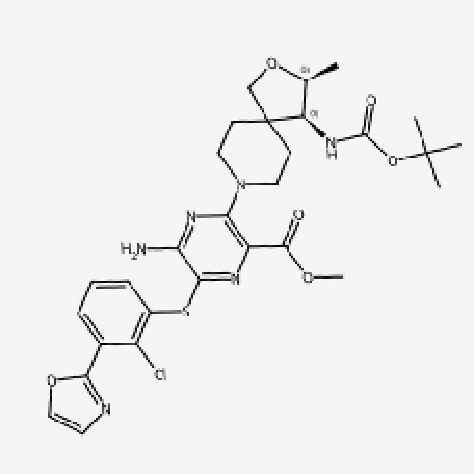 COC(=O)c1nc(Sc2cccc(-c3ncco3)c2Cl)c(N)nc1N1CCC2(CC1)CO[C@@H](C)[C@H]2NC(=O)OC(C)(C)C